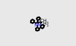 C[Si]1(C)c2ccccc2-c2c(-c3ccccc3)nc(-c3ccccc3-c3ccccc3)nc21